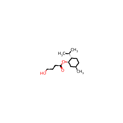 CC(C)[C@@H]1CC[C@@H](C)C[C@H]1OC(=O)CCCO